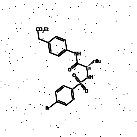 CCCC[C@H](NS(=O)(=O)c1ccc(Br)cc1)C(=O)Nc1ccc(CC(=O)OCC)cc1